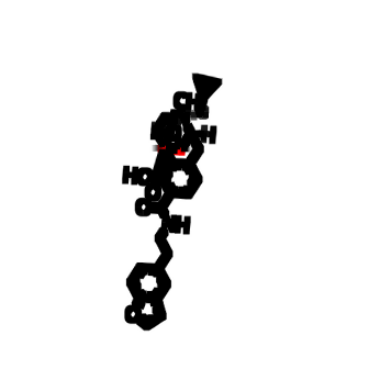 C[N+]1(CC2CC2)CC[C@]23CC(=O)CC[C@@]2(O)[C@H]1Cc1ccc(C(=O)NCCc2ccc4occc4c2)c(O)c13